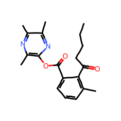 CCCCC(=O)c1c(C)cccc1C(=O)Oc1nc(C)c(C)nc1C